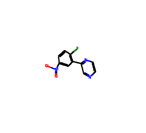 O=[N+]([O-])c1ccc(F)c(-c2cnccn2)c1